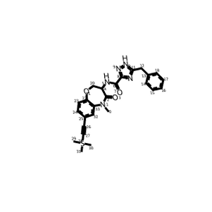 CN1C(=O)C(NC(=O)c2n[nH]c(Cc3ccccc3)n2)COc2ccc(C#CS(C)(C)C)cc21